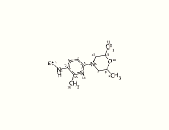 CCNc1ccc(N2CC(C)OC(C(F)(F)F)C2)nc1C